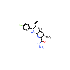 C=CCC(Nc1nc(C(=O)NN)c([N+](=O)[O-])cc1C(F)(F)F)c1ccc(F)cc1